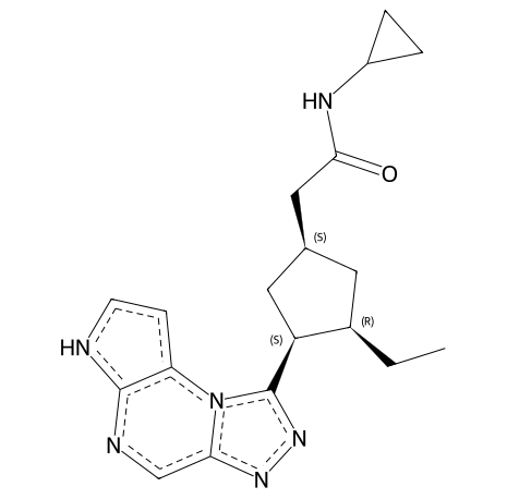 CC[C@@H]1C[C@H](CC(=O)NC2CC2)C[C@@H]1c1nnc2cnc3[nH]ccc3n12